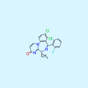 C[C@@H]1N=C(c2c(F)cccc2F)c2c(ccc(Cl)c2Cl)-n2ccc(=O)nc21